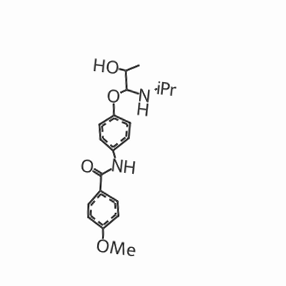 COc1ccc(C(=O)Nc2ccc(OC(NC(C)C)C(C)O)cc2)cc1